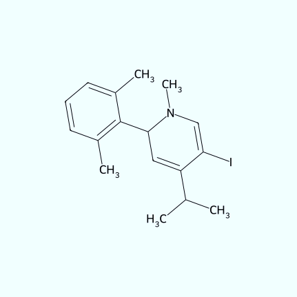 Cc1cccc(C)c1C1C=C(C(C)C)C(I)=CN1C